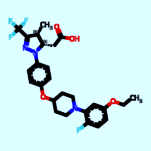 CCOc1ccc(F)c(N2CCC(Oc3ccc(N4N=C(C(F)(F)F)[C@@H](C)[C@@H]4CC(=O)O)cc3)CC2)c1